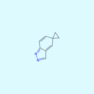 C1=CC2(C=C3C=NN=C13)CC2